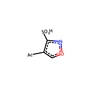 CC(=O)c1conc1S(=O)(=O)O